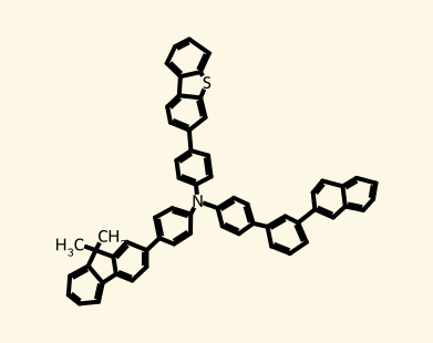 CC1(C)c2ccccc2-c2ccc(-c3ccc(N(c4ccc(-c5cccc(-c6ccc7ccccc7c6)c5)cc4)c4ccc(-c5ccc6c(c5)sc5ccccc56)cc4)cc3)cc21